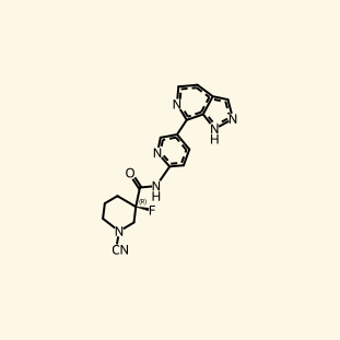 N#CN1CCC[C@](F)(C(=O)Nc2ccc(-c3nccc4cn[nH]c34)cn2)C1